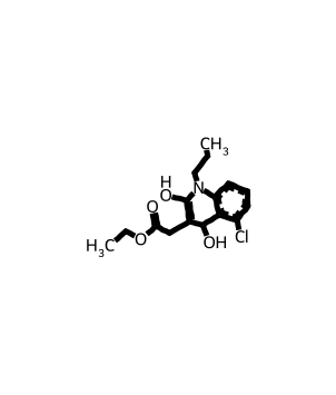 CCCN1C(O)=C(CC(=O)OCC)C(O)c2c(Cl)cccc21